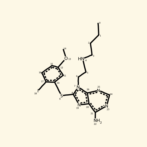 CCCCNCCn1c(Sc2cc(OC)ccc2I)nc2c(N)ncnc21